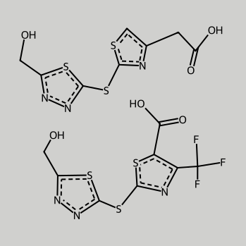 O=C(O)Cc1csc(Sc2nnc(CO)s2)n1.O=C(O)c1sc(Sc2nnc(CO)s2)nc1C(F)(F)F